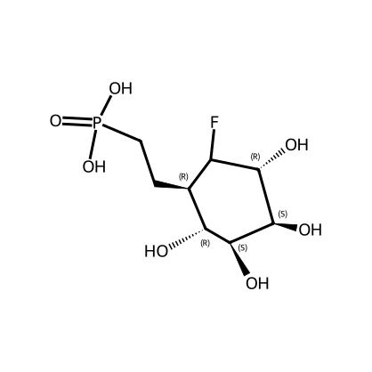 O=P(O)(O)CC[C@H]1C(F)[C@H](O)[C@@H](O)[C@@H](O)[C@@H]1O